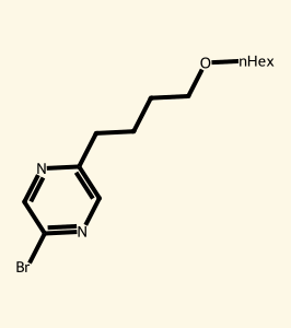 CCCCCCOCCCCc1cnc(Br)cn1